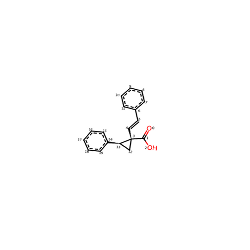 O=C(O)[C@]1(C=Cc2ccccc2)C[C@H]1c1ccccc1